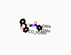 COc1cc(C(=O)NCCSC2c3ccccc3COc3ccc(C(=O)O)cc32)cc(OC)c1OC